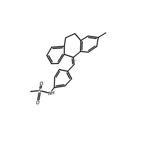 Cc1ccc2c(c1)CCc1ccccc1/C2=C\c1ccc(NS(C)(=O)=O)cc1